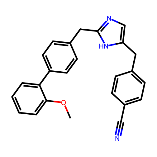 COc1ccccc1-c1ccc(Cc2ncc(Cc3ccc(C#N)cc3)[nH]2)cc1